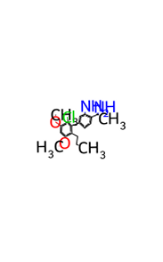 CCCc1c(OC)cc(OC)c(Cl)c1-c1ccc(C(C)=N)c(N)c1